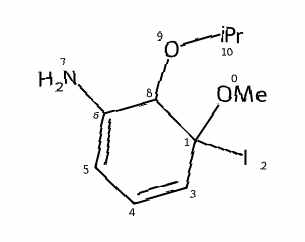 COC1(I)C=CC=C(N)C1OC(C)C